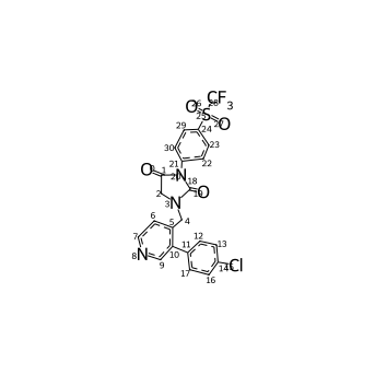 O=C1CN(Cc2ccncc2-c2ccc(Cl)cc2)C(=O)N1c1ccc(S(=O)(=O)C(F)(F)F)cc1